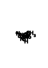 COC(=O)N(NC(=O)c1c(CN2CCC(N3CCCC3)CC2)c(-c2ccccc2)nc2ccccc12)c1ccccc1